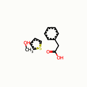 CO.O=C(O)Cc1ccccc1.c1ccsc1